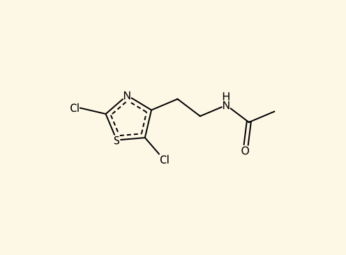 CC(=O)NCCc1nc(Cl)sc1Cl